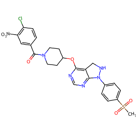 CS(=O)(=O)c1ccc(N2NCc3c(OC4CCN(C(=O)c5ccc(Cl)c([N+](=O)[O-])c5)CC4)ncnc32)cc1